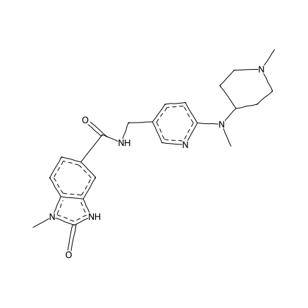 CN1CCC(N(C)c2ccc(CNC(=O)c3ccc4c(c3)[nH]c(=O)n4C)cn2)CC1